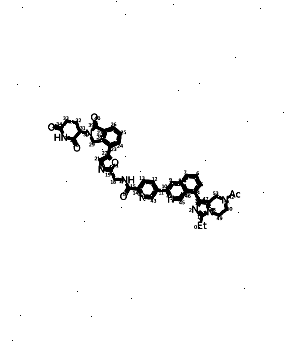 CCc1nc(-c2cccc3cc(-c4ccc(C(=O)NCc5ncc(-c6cccc7c6CN(C6CCC(=O)NC6=O)C7=O)o5)nc4)ncc23)c2n1CCN(C(C)=O)C2